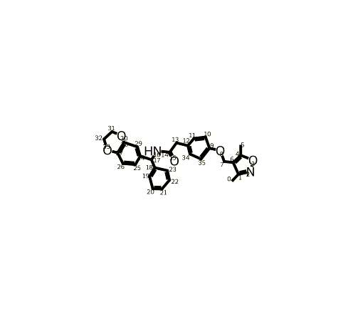 Cc1noc(C)c1COc1ccc(CC(=O)NC(c2ccccc2)c2ccc3c(c2)OCCO3)cc1